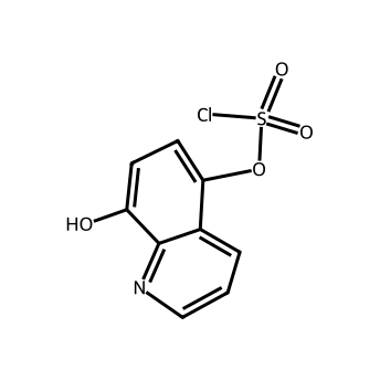 O=S(=O)(Cl)Oc1ccc(O)c2ncccc12